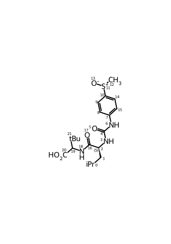 CC(C)C[C@H](NC(=O)Nc1ccc([S+](C)[O-])cc1)C(=O)NC(C(=O)O)C(C)(C)C